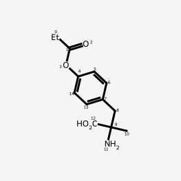 CCC(=O)Oc1ccc(CC(C)(N)C(=O)O)cc1